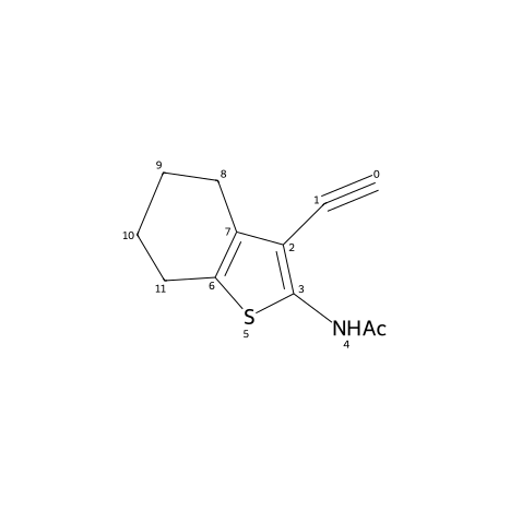 C#Cc1c(NC(C)=O)sc2c1CCCC2